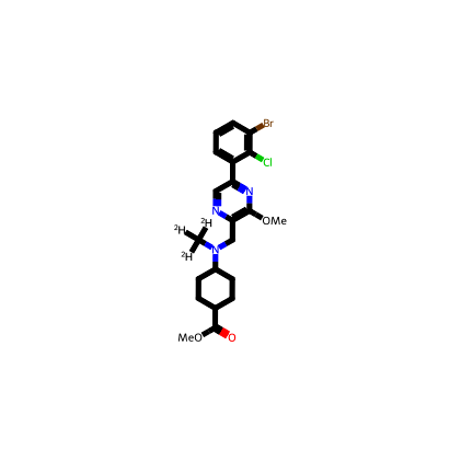 [2H]C([2H])([2H])N(Cc1ncc(-c2cccc(Br)c2Cl)nc1OC)C1CCC(C(=O)OC)CC1